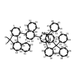 CC1(C)c2cccc(-c3ccc(-c4cc(-c5cccc6c5C(c5ccccc5)(c5ccccc5)c5ccccc5-6)nc(-c5ccccc5)n4)c4ccccc34)c2-c2c1ccc1ccccc21